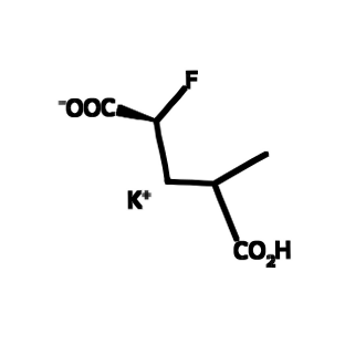 CC(C[C@H](F)C(=O)[O-])C(=O)O.[K+]